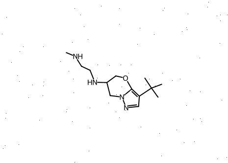 CNCCNC1COc2c(C(C)(C)C)cnn2C1